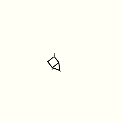 C1S[C]2CC12